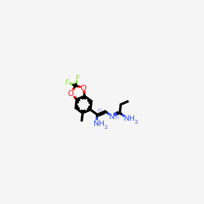 CC/C(N)=N\C=C(/N)c1cc2c(cc1C)OC(F)(F)O2